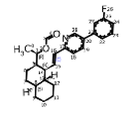 C[C@@H](OC=O)[C@@H]1CC[C@@H]2CCCC[C@H]2[C@@H]1/C=C/c1ccc(-c2cccc(F)c2)cn1